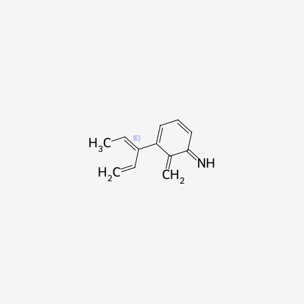 C=C/C(=C\C)C1=CC=CC(=N)C1=C